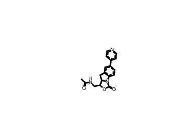 CC(=O)NCC1OC(=O)N2c3ccc(-c4ccncc4)cc3CC12